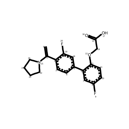 C=C(c1ccc(-c2cc(F)ccc2OCC(=O)O)cc1F)N1CCCC1